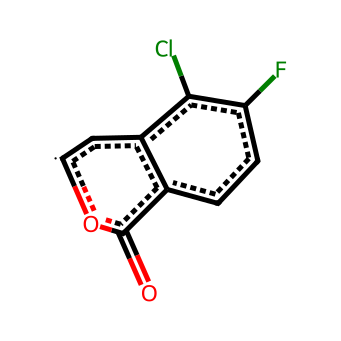 O=c1o[c]cc2c(Cl)c(F)ccc12